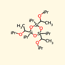 CC(C)OC(C)[Si]1(C(C)C)O[Si](C(C)C)(C(C)OC(C)C)O[Si](C(C)C)(C(C)OC(C)C)O1